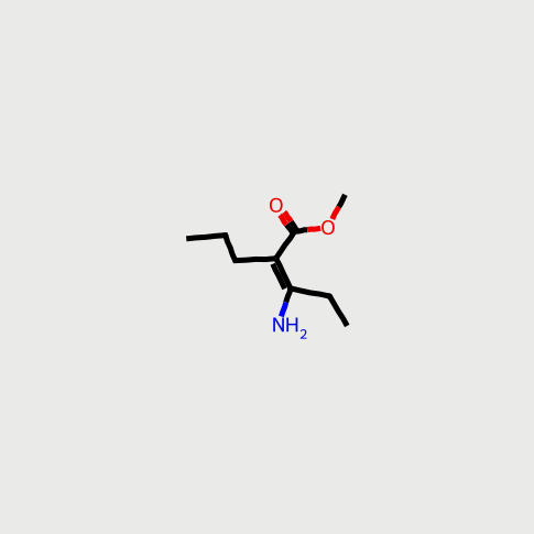 CCCC(C(=O)OC)=C(N)CC